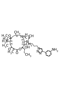 B[C@@H]1[C@@H](C)C(=O)[C@@H](C)C(=O)O[C@H](CCC)[C@@](C)(O)[C@H](N(C#C)CCCCn2cc(-c3cccc(N)c3)nn2)[C@@H](C)NC[C@H](C)C[C@@]1(C)OC